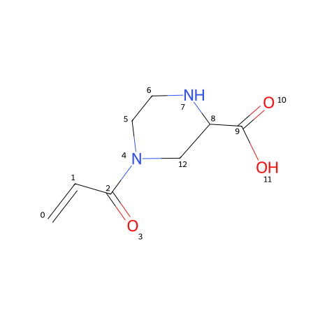 C=CC(=O)N1CCNC(C(=O)O)C1